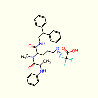 CC(Nc1ccccc1)C(=O)N(C)C(CCCN)C(=O)NCC(c1ccccc1)c1ccccc1.O=C(O)C(F)(F)F